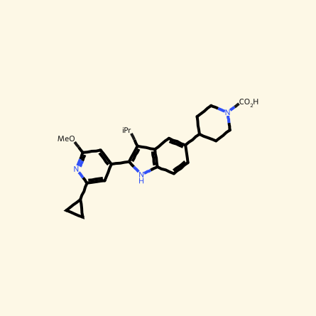 COc1cc(-c2[nH]c3ccc(C4CCN(C(=O)O)CC4)cc3c2C(C)C)cc(C2CC2)n1